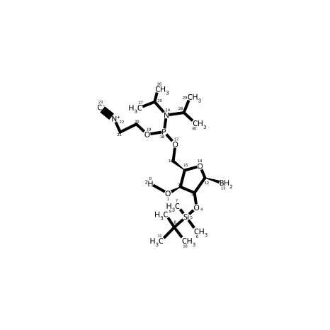 [2H]O[C@@H]1C(O[Si](C)(C)C(C)(C)C)[C@H](B)O[C@@H]1COP(OCC[N+]#[C-])N(C(C)C)C(C)C